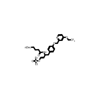 CCCCCCCCCCCCCC(=O)NC(C=COP(=O)(CC)CC)Cc1ccc(OCc2cc(OCC(F)(F)F)ccn2)cc1